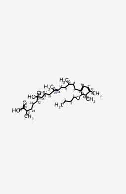 CCCCOC1C(CCC(C)CC/C=C(\C)CCCC(C)(O)CCCC(C)C(=O)O)=CC=C(C)C1C